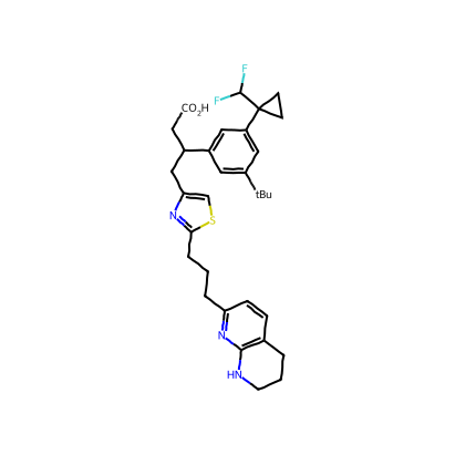 CC(C)(C)c1cc(C(CC(=O)O)Cc2csc(CCCc3ccc4c(n3)NCCC4)n2)cc(C2(C(F)F)CC2)c1